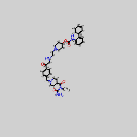 CN(C(N)=O)C(=O)C1CCN(Cc2ccc(C(=O)CNCCN3CCC(OC(=O)Nc4ccccc4-c4ccccc4)CC3)cc2)CC1